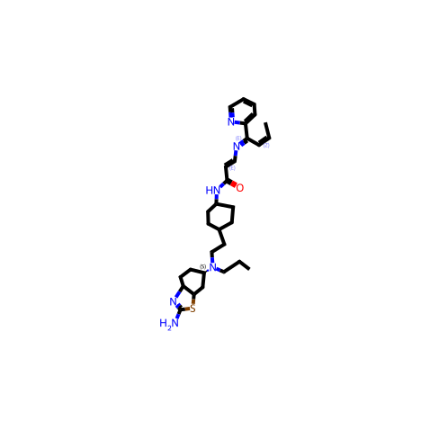 C\C=C/C(=N\C=C\C(=O)NC1CCC(CCN(CCC)[C@H]2CCC3N=C(N)SC3C2)CC1)c1ccccn1